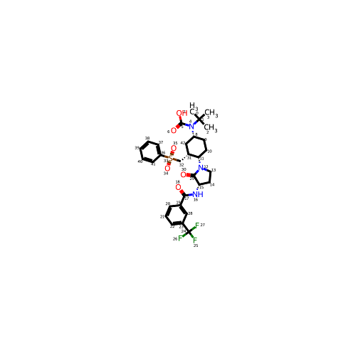 CC(C)(C)N(C(=O)O)[C@@H]1CC[C@H](N2CC[C@H](NC(=O)c3cccc(C(F)(F)F)c3)C2=O)[C@H](CS(=O)(=O)c2ccccc2)C1